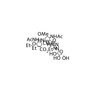 CCOC(=O)C1=CC(OC(CC)CC)C(NC(C)=O)C(NC2(C(=O)O)CC(OC)C(NC(C)=O)C(C(=O)Nc3ncn([C@@H]4O[C@H](CO)C(O)C4O)n3)O2)C1